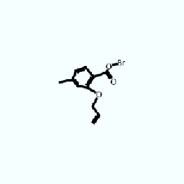 C=CCOc1cc(C)ccc1C(=O)OBr